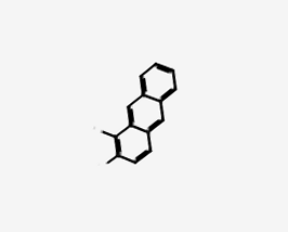 [2H]c1ccc2cc3ccccc3cc2c1[2H]